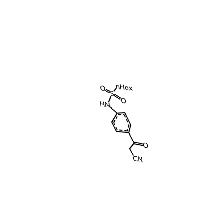 CCCCCCS(=O)(=O)Nc1ccc(C(=O)CC#N)cc1